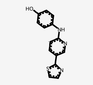 Oc1ccc(Nc2[c]cc(-c3nccs3)cn2)cc1